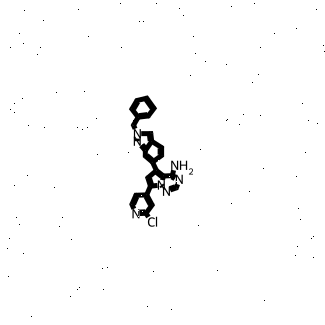 Nc1ncnn2c(-c3ccnc(Cl)c3)cc(-c3ccc4cn(Cc5ccccc5)nc4c3)c12